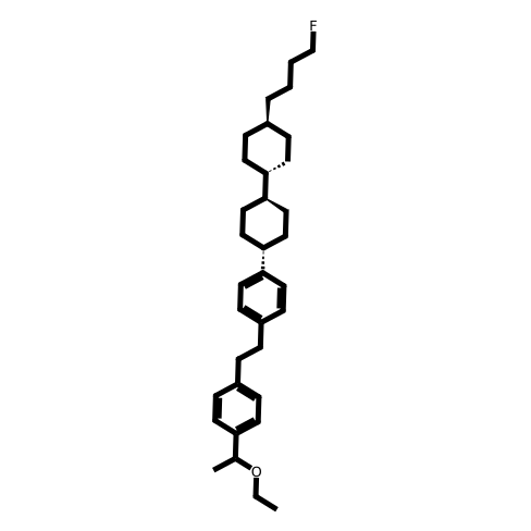 CCOC(C)c1ccc(CCc2ccc([C@H]3CC[C@H]([C@H]4CC[C@H](CCCCF)CC4)CC3)cc2)cc1